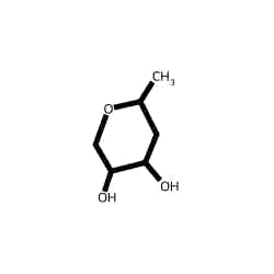 CC1CC(O)C(O)CO1